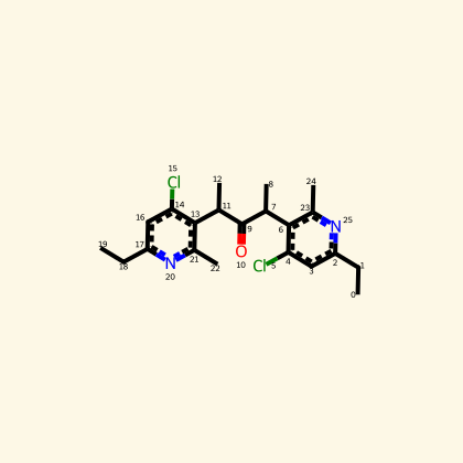 CCc1cc(Cl)c(C(C)C(=O)C(C)c2c(Cl)cc(CC)nc2C)c(C)n1